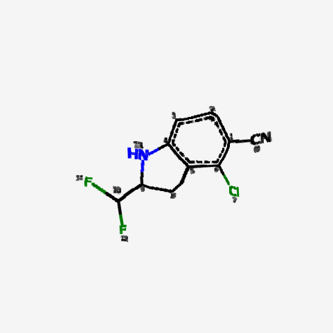 N#Cc1ccc2c(c1Cl)CC(C(F)F)N2